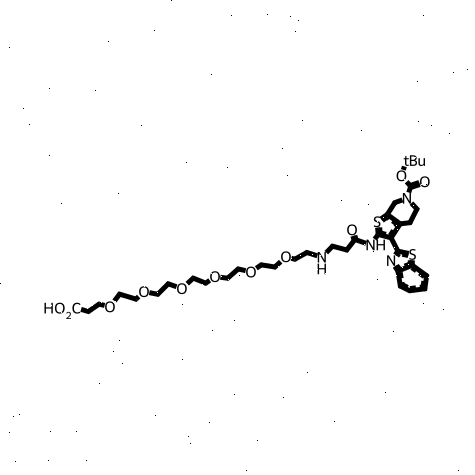 CC(C)(C)OC(=O)N1CCc2c(sc(NC(=O)CCNCCOCCOCCOCCOCCOCCOCCC(=O)O)c2-c2nc3ccccc3s2)C1